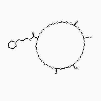 CCCCC1CCCCCCC(CCCC)CCOC(=O)CCCCCCCCCC(C(=O)OCCCN2CCCCC2)CCCCCCCCCC(=O)OCC1